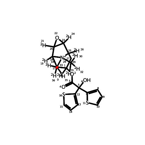 [2H]C1(OC(=O)C(O)(c2cccs2)c2cccs2)CC2([2H])C3([2H])OC3([2H])C([2H])(C1)[N+]2(C([2H])([2H])[2H])C([2H])([2H])[2H]